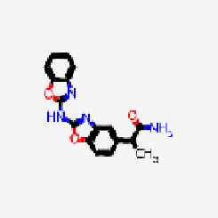 CC(C(N)=O)c1ccc2oc(Nc3nc4ccccc4o3)nc2c1